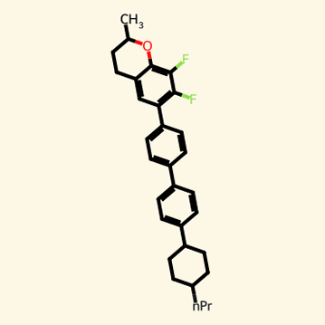 CCCC1CCC(c2ccc(-c3ccc(-c4cc5c(c(F)c4F)OC(C)CC5)cc3)cc2)CC1